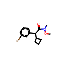 CON(C)C(=O)C(c1cccc(Br)c1)C1CCC1